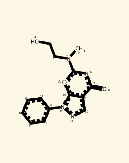 CN(CCO)c1nc(=O)c2cnn(-c3ccccc3)c2o1